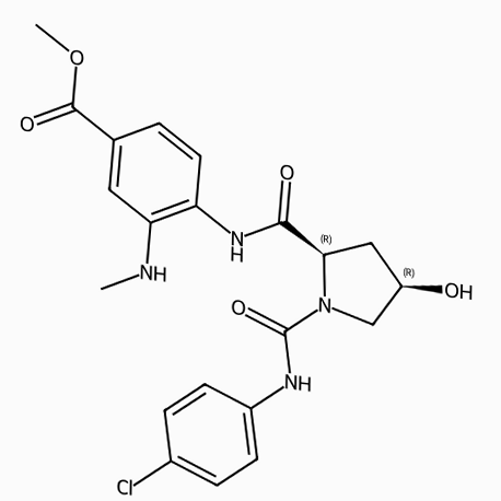 CNc1cc(C(=O)OC)ccc1NC(=O)[C@H]1C[C@@H](O)CN1C(=O)Nc1ccc(Cl)cc1